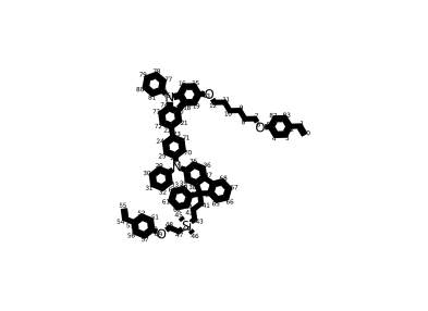 C=Cc1ccc(OCCCCCCOc2ccc3c(c2)c2cc(-c4ccc(N(c5ccccc5)c5ccc6c(c5)C(CCC[Si](C)(C)CCOc5ccc(C=C)cc5)(c5ccccc5)c5ccccc5-6)cc4)ccc2n3-c2ccccc2)cc1